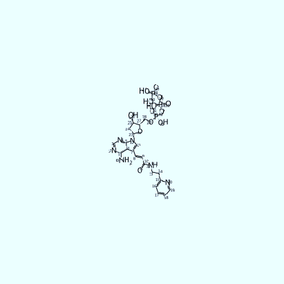 Nc1ncnc2c1c(/C=C/C(=O)NCCc1ccccn1)cn2[C@H]1C[C@@H](O)[C@@H](COP(=O)(O)OP(=O)(O)OP(=O)(O)O)O1